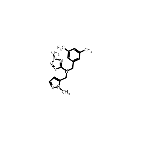 Cn1nnc(N(Cc2cc(C(F)(F)F)cc(C(F)(F)F)c2)Cc2ccnn2C)n1